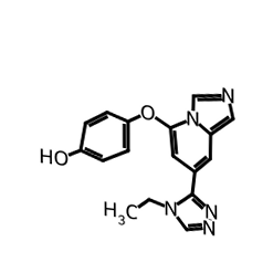 CCn1cnnc1-c1cc(Oc2ccc(O)cc2)n2cncc2c1